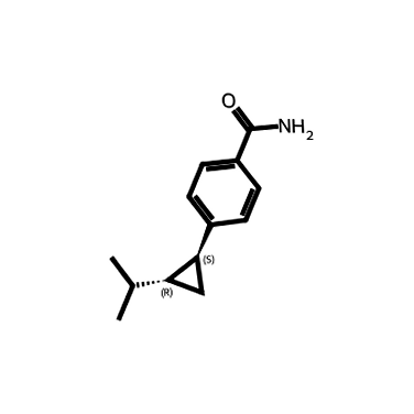 CC(C)[C@H]1C[C@@H]1c1ccc(C(N)=O)cc1